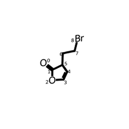 O=C1OC=CC1CCBr